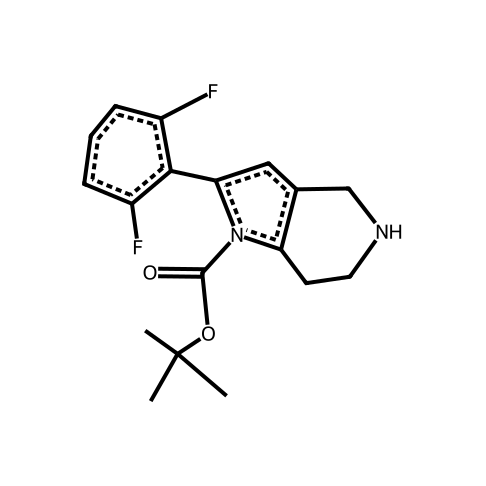 CC(C)(C)OC(=O)n1c(-c2c(F)cccc2F)cc2c1CCNC2